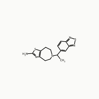 CC(c1ccc2nsnc2c1)N1CCc2nc(N)sc2CC1